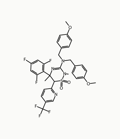 COc1ccc(CN(Cc2ccc(OC)cc2)C2=NC(C)(c3c(F)cc(F)cc3F)C(c3ccc(C(F)(F)F)cn3)S(=O)(=O)N2C)cc1